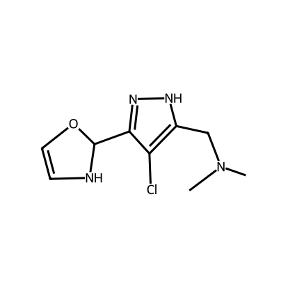 CN(C)Cc1[nH]nc(C2NC=CO2)c1Cl